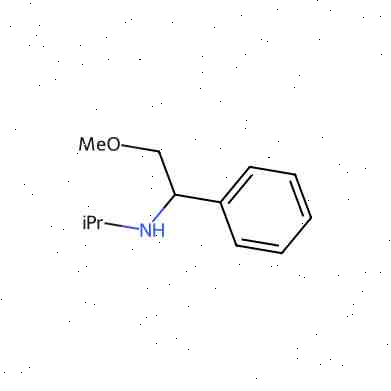 COCC(NC(C)C)c1ccccc1